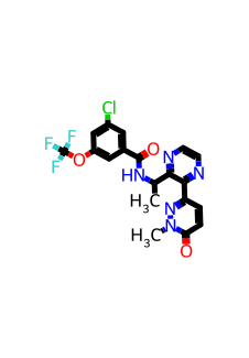 CC(NC(=O)c1cc(Cl)cc(OC(F)(F)F)c1)c1nccnc1-c1ccc(=O)n(C)n1